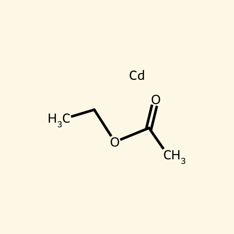 CCOC(C)=O.[Cd]